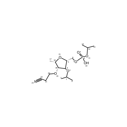 CC(C)OC1[C@@H](COP(=O)(O)OC(C)C)O[C@@H](C)[C@H]1OCCC#N